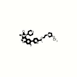 C[C@@H](OCCN1CC[C@H](OC(F)(F)F)C1)c1ccc(-c2cc3c(cc2F)nnc2c3n(C3CCOCC3)c(=O)n2C)cn1